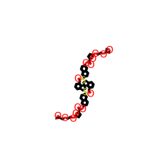 O=C(Oc1ccc2cc(SC(=O)c3cccc4c3C3(CC4)CCc4cccc(C(=O)Sc5ccc6cc(OC(=O)c7ccc(OCCOC8COC8)o7)ccc6c5)c43)ccc2c1)c1ccc(OCCOCC2CO2)o1